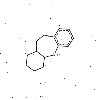 c1ccc2c(c1)CCC1CCCCC1N2